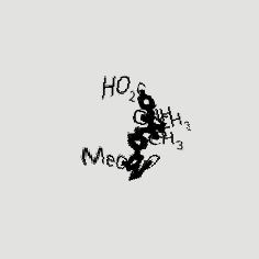 COc1cc(-c2ccc(Cc3c(C)sc(C)c3C(=O)NC3CCC(C(=O)O)CC3)cc2)cc(N2CCC2=O)c1